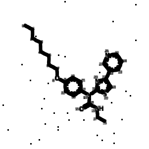 CCCCCCCCOc1ccc(N(C(=O)NCC)c2nc(-c3cccnc3)cs2)cc1